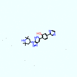 CC1(C)CC(n2nnc3cc(-c4ccc(-c5cnccn5)cc4O)nnc32)CC(C)(C)N1